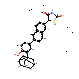 O=C1NC(=O)C(c2ccc3cc(-c4ccc(O)c(C56CC7CC(CC(C7)C5)C6)c4)ccc3c2)S1